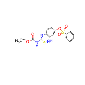 CCOC(=O)NC1=Nc2ccc(OS(=O)(=O)c3ccccc3)cc2NS1